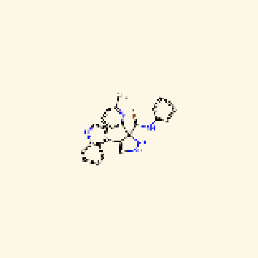 Cc1cccc(C2(C(=S)Nc3ccccc3)NNC=C2c2ccnc3ccccc23)n1